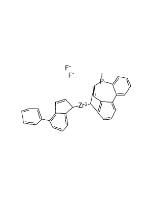 CP1C2=Cc3c(cccc3[CH]2[Zr+2][CH]2C=Cc3c(-c4ccccc4)cccc32)-c2ccccc21.[F-].[F-]